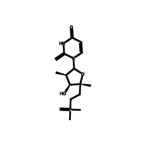 C=C1NC(=O)C=CN1C1O[C@](C)(CCP(=C)(C)C)[C@@H](O)[C@H]1C